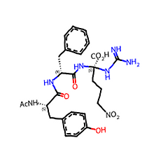 CC(=O)N[C@@H](Cc1ccc(O)cc1)C(=O)N[C@H](Cc1ccccc1)C(=O)N[C@](CCC[N+](=O)[O-])(NC(=N)N)C(=O)O